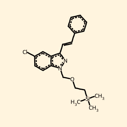 C[Si](C)(C)CCOCn1nc(C=Cc2ccccc2)c2cc(Cl)ccc21